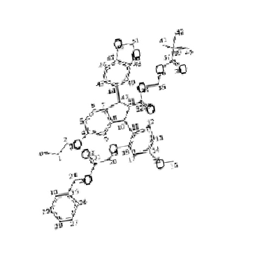 CCCOc1ccc2c(c1)C(c1ccc(OC)cc1OCC(=O)OCc1ccccc1)C(C(=O)OCOC(=O)C(C)(C)C)C2c1ccc2c(c1)OCO2